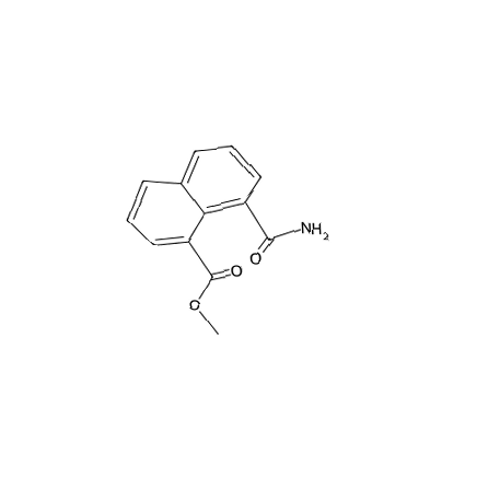 COC(=O)c1cccc2cccc(C(N)=O)c12